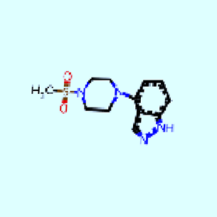 CS(=O)(=O)N1CCN(c2cccc3[nH]ncc23)CC1